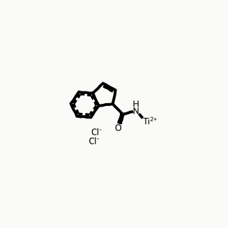 O=C([NH][Ti+2])C1C=Cc2ccccc21.[Cl-].[Cl-]